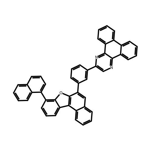 c1cc(-c2cnc3c4ccccc4c4ccccc4c3n2)cc(-c2cc3ccccc3c3c2oc2c(-c4cccc5ccccc45)cccc23)c1